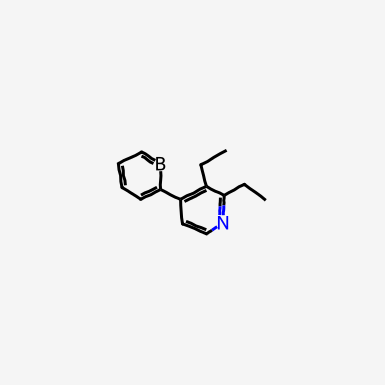 CCc1nccc(-c2bcccc2)c1CC